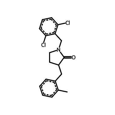 Cc1ccccc1CC1CCN(Cc2c(Cl)cccc2Cl)C1=O